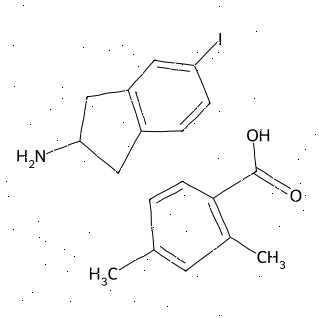 Cc1ccc(C(=O)O)c(C)c1.NC1Cc2ccc(I)cc2C1